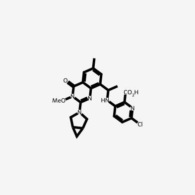 COn1c(N2CC3CC3C2)nc2c(C(C)Nc3ccc(Cl)nc3C(=O)O)cc(C)cc2c1=O